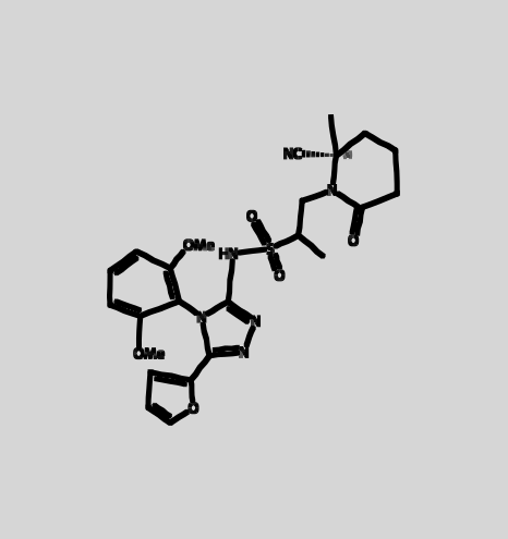 COc1cccc(OC)c1-n1c(NS(=O)(=O)C(C)CN2C(=O)CCC[C@@]2(C)C#N)nnc1-c1ccco1